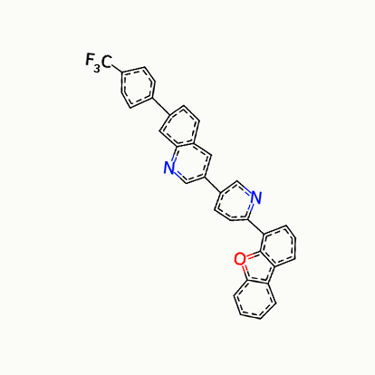 FC(F)(F)c1ccc(-c2ccc3cc(-c4ccc(-c5cccc6c5oc5ccccc56)nc4)cnc3c2)cc1